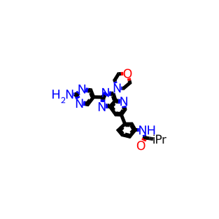 CC(C)C(=O)Nc1cccc(-c2cnc3c(N4CCOCC4)nc(-c4cnc(N)nc4)nc3c2)c1